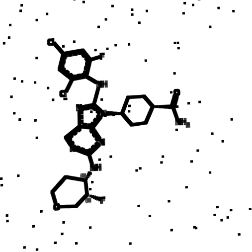 NC(=O)[C@H]1CC[C@@H](n2c(Nc3c(F)cc(Cl)cc3Cl)nc3cnc(N[C@H]4CCOC[C@H]4F)nc32)CC1